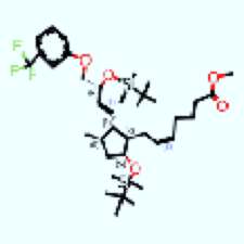 COC(=O)CCC/C=C\C[C@@H]1[C@@H](/C=C/[C@H](COc2cccc(C(F)(F)F)c2)O[Si](C)(C)C(C)(C)C)[C@H](C)C[C@@H]1O[Si](C)(C)C(C)(C)C